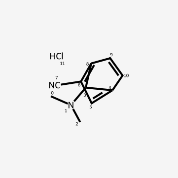 CN(C)C1C2=CC(C#N)=C1C=C2.Cl